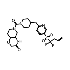 C=CCC(F)(F)S(=O)(=O)c1ccc(CC2CCN(C(=O)N3CCC4OCC(=O)NC4C3)CC2)nc1